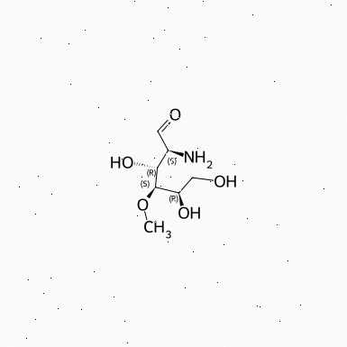 CO[C@@H]([C@H](O)[C@H](N)C=O)[C@H](O)CO